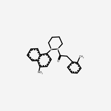 Cc1ccccc1CC(=O)N1CCCCN1c1ccc([N+](=O)[O-])c2ccccc12